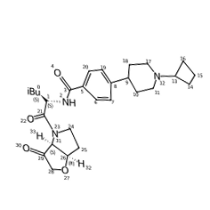 CC[C@H](C)[C@H](NC(=O)c1ccc(C2CCN(C3CCC3)CC2)cc1)C(=O)N1CC[C@H]2OCC(=O)[C@H]21